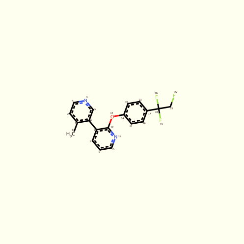 Cc1ccncc1-c1cccnc1Oc1ccc(C(F)(F)CF)cc1